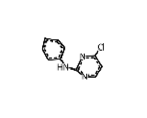 Clc1ccnc(Nc2ccccc2)n1